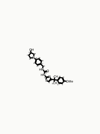 COc1ccc(C(C)(C)c2csc(NC(=O)NCc3ccc(N4CCC(O)C4)cc3)n2)cc1